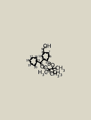 CC1(C)OB(c2ccc(CO)cc2C(=O)c2ccccc2)OC1(C)C